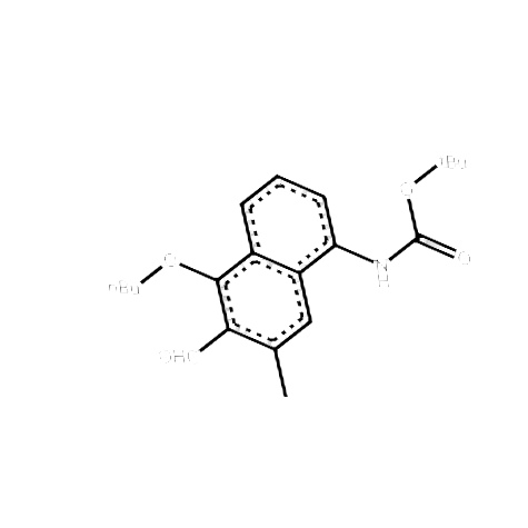 CCCCOc1c(C=O)c(C)cc2c(NC(=O)OC(C)(C)C)cccc12